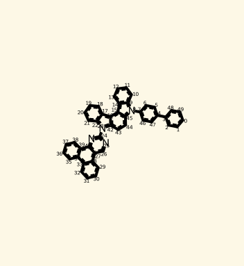 c1ccc(-c2ccc(-n3c4ccccc4c4c5c6ccccc6n(-c6ncc7c8ccccc8c8ccccc8c7n6)c5ccc43)cc2)cc1